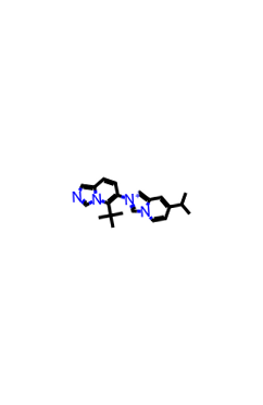 CC(C)c1ccn2c[n+](-c3ccc4cncn4c3C(C)(C)C)cc2c1